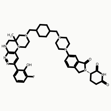 CC12CNc3nnc(-c4cccc(F)c4O)cc3N1CCN(CC1CCC(CN3CCN(c4ccc5c(c4)C(=O)N([C@H]4CCC(=O)NC4=O)C5)CC3)CC1)C2